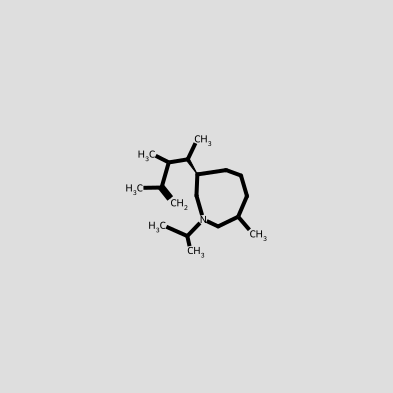 C=C(C)C(C)C(C)[C@H]1CCCC(C)CN(C(C)C)C1